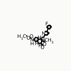 CCOC(=O)N[C@@H]1CC[C@@H]2[C@H](C1)C[C@H]1C(=O)O[C@H](C)[C@@H]1[C@@H]2/C=C/c1ccc(-c2cccc(F)c2)cn1